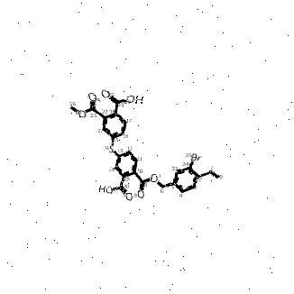 CCc1ccc(COC(=O)c2ccc(Sc3ccc(C(=O)O)c(C(=O)OC)c3)cc2C(=O)O)cc1Br